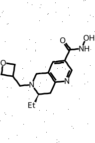 CC[C@@H]1Cc2ncc(C(=O)NO)cc2CN1CC1COC1